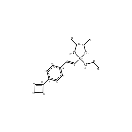 CCO[Si](C=Cc1ccc(C2=CCC2)cc1)(OCC)OCC